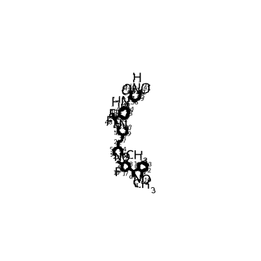 COc1cc(-c2cn(C)c(=O)c3ccccc23)cc(F)c1CN1CCC(CCC2CCN(c3ccc(NC4CCC(=O)NC4=O)cc3C(F)(F)F)CC2)CC1